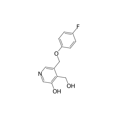 OCc1c(O)cncc1COc1ccc(F)cc1